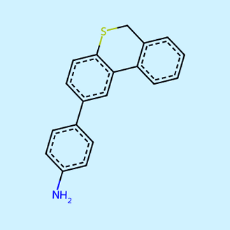 Nc1ccc(-c2ccc3c(c2)-c2ccccc2CS3)cc1